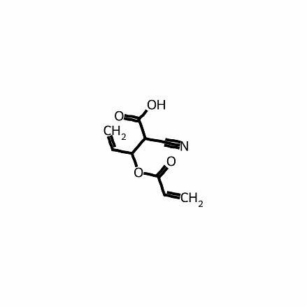 C=CC(=O)OC(C=C)C(C#N)C(=O)O